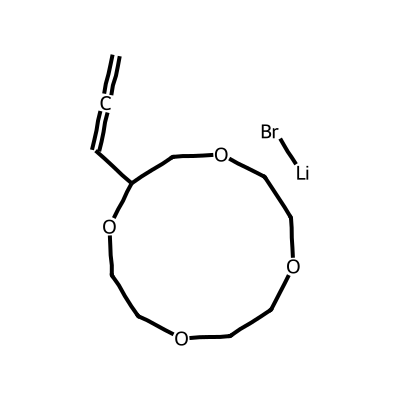 C=C=CC1COCCOCCOCCO1.[Li][Br]